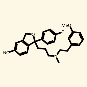 COc1cccc(CCN(C)CCCC2(c3ccc(F)cc3)OCc3cc(C#N)ccc32)c1